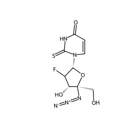 [N-]=[N+]=N[C@]1(CO)O[C@@H](n2ccc(=O)[nH]c2=S)C(F)[C@H]1O